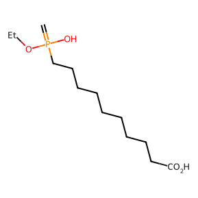 C=P(O)(CCCCCCCCCC(=O)O)OCC